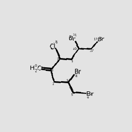 C=C(CC(Br)CBr)[C](Cl)CC(Br)CBr